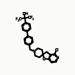 OC(c1ccc(-c2ccc(CN3CCC4(CC3)Cc3c(ccnc3Cl)O4)cc2)cc1)(C(F)(F)F)C(F)(F)F